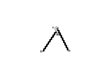 COC(CCC=CCCCCCCCCCCCCBr)OC(CCC=CCCCCCCCCCCCCBr)OC